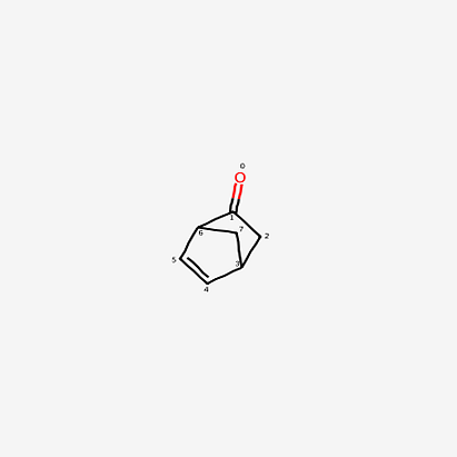 O=C1CC2C=CC1C2